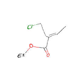 C/C=C(\CCl)C(=O)OCC